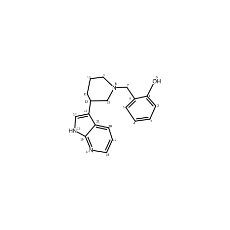 Oc1ccccc1CN1CCCC(c2c[nH]c3ncccc23)C1